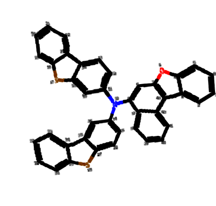 c1ccc2c(c1)oc1cc(N(c3ccc4c(c3)sc3ccccc34)c3ccc4sc5ccccc5c4c3)c3ccccc3c12